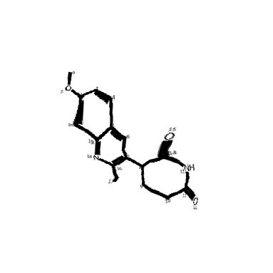 COc1ccc2cc(C3CCC(=O)NC3=O)c(C)nc2c1